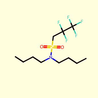 CCCCN(CCCC)S(=O)(=O)CC(F)(F)C(F)(F)F